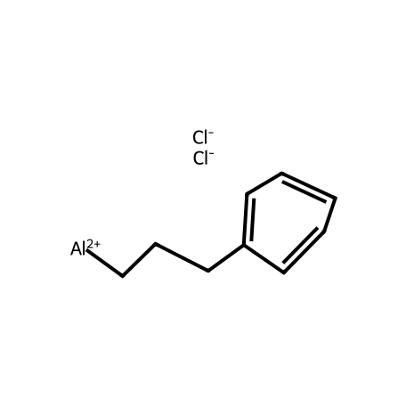 [Al+2][CH2]CCc1ccccc1.[Cl-].[Cl-]